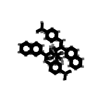 CN(C)c1ccc(N=C([C](=O)[Hf]([Cl])([Cl])([Cl])([Cl])[C](=O)C(=Nc2ccc(N(C)C)cc2)c2ccc3ccccc3c2)c2ccc3ccccc3c2)cc1